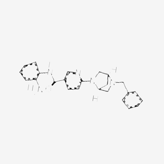 Nc1ccccc1NC(=O)c1ccc(N2C[C@@H]3C[C@H]2CN3Cc2ccccc2)nc1